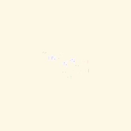 C#CCNC(=O)Cn1cnc2c(O)c(Cl)cc(Cl)c2c1=O